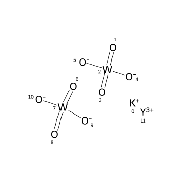 [K+].[O]=[W](=[O])([O-])[O-].[O]=[W](=[O])([O-])[O-].[Y+3]